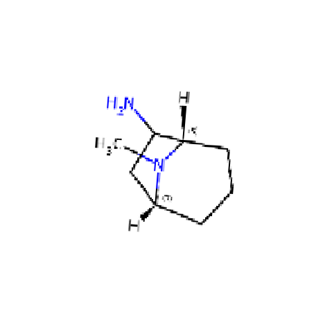 CN1[C@@H]2CCC[C@H]1C(N)C2